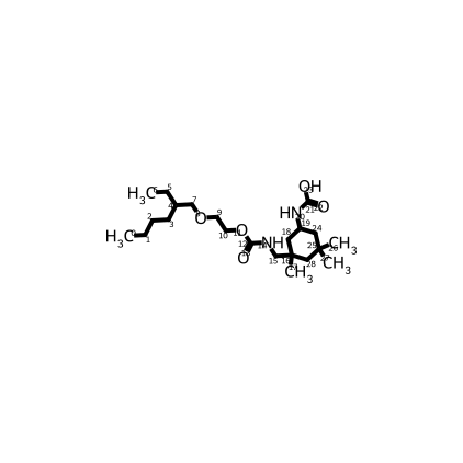 CCCCC(CC)COCCOC(=O)NCC1(C)CC(NC(=O)O)CC(C)(C)C1